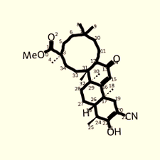 COC(=O)[C@@]1(C)CCC(C)(C)CCC2C(=O)C=C3[C@@]4(C)CC(C#N)=C(O)[C@@H](C)[C@@H]4CC[C@@]3(C)[C@]2(C)CC1